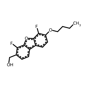 CCCCOc1ccc2c(oc3c(F)c(CO)ccc32)c1F